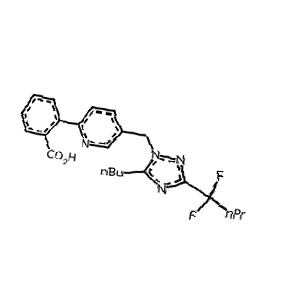 CCCCc1nc(C(F)(F)CCC)nn1Cc1ccc(-c2ccccc2C(=O)O)nc1